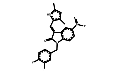 Cc1cc(C)c(C=C2C(=O)N(Cc3ccc(F)c(F)c3)c3ccc([N+](=O)[O-])cc32)[nH]1